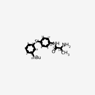 CCCCc1cccc(Sc2ccc(NC(=O)C(C)N)cc2)c1